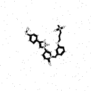 CS(=O)(=O)CCCOc1cccc(Cn2cc(N3C=C(c4ccc(OC(F)(F)F)cc4)ON3)ccc2=O)c1